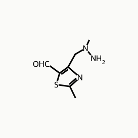 Cc1nc(CN(C)N)c(C=O)s1